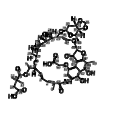 C/C1=C/C=C/[C@H](C(C)OC(=O)C(C)(C)CC(=O)O)C[C@@H](C)[C@@H](O)[C@@H](C)[C@H](O)[C@H](C)[C@@H](O[C@H]2C[C@@H]3OCO[C@@H]3[C@@H](C)O2)/C=C/O[C@@]2(C)Oc3c(C)c(O)c4c(O)c(cc(OCC(=O)O)c4c3C2=O)NC1=O